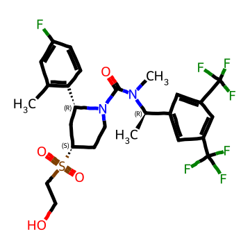 Cc1cc(F)ccc1[C@H]1C[C@@H](S(=O)(=O)CCO)CCN1C(=O)N(C)[C@H](C)c1cc(C(F)(F)F)cc(C(F)(F)F)c1